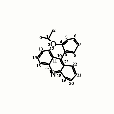 CC(C)Oc1ccccc1-c1c2ccccc2nc2ccccc12